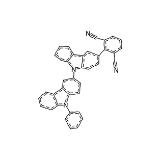 N#Cc1cccc(C#N)c1-c1ccc2c(c1)c1ccccc1n2-c1ccc2c(c1)c1ccccc1n2-c1ccccc1